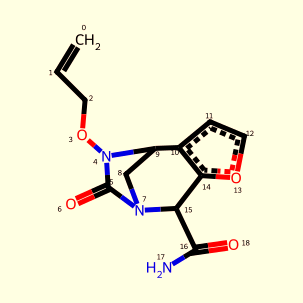 C=CCON1C(=O)N2CC1c1ccoc1C2C(N)=O